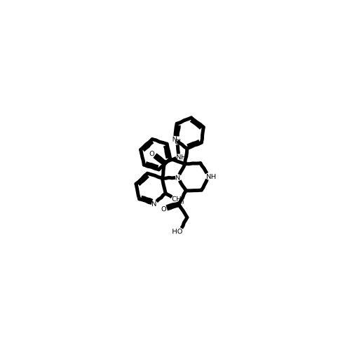 CC1N=CC=CC1(C(=O)NCl)N1C(C(=O)CO)CNCC1(c1ccccc1)c1ccccn1